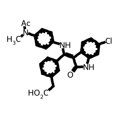 CC(=O)N(C)c1ccc(NC(=C2C(=O)Nc3cc(Cl)ccc32)c2cccc(CC(=O)O)c2)cc1